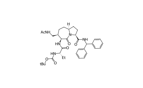 CC[C@H](NC(=O)OC(C)(C)C)C(=O)N[C@@H]1C(=O)N2[C@@H](CC[C@@H]1CNC(C)=O)CC[C@H]2C(=O)NC(c1ccccc1)c1ccccc1